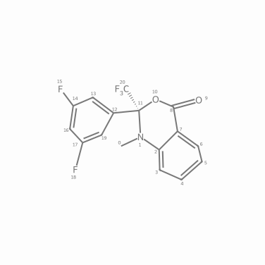 CN1c2ccccc2C(=O)O[C@@]1(c1cc(F)cc(F)c1)C(F)(F)F